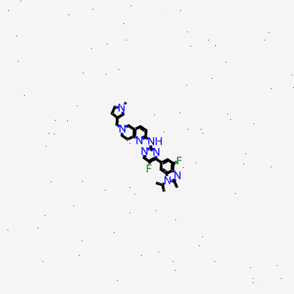 Cc1nc2c(F)cc(-c3nc(Nc4ccc5c(n4)CCN(CC4CCN(C)C4)C5)ncc3F)cc2n1C(C)C